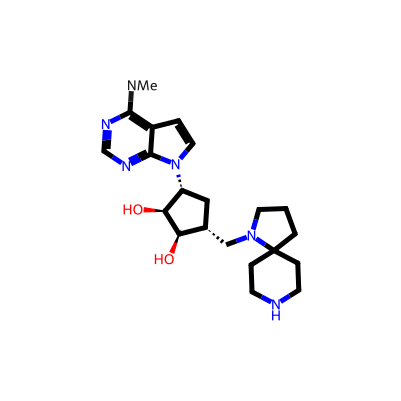 CNc1ncnc2c1ccn2[C@@H]1C[C@H](CN2CCCC23CCNCC3)[C@@H](O)[C@H]1O